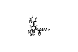 C/C=N\C(=C/C)c1cc(C(=O)OC)n2ccnc2c1